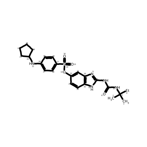 CCC(C)(C)NC(=O)Nc1nc2cc(OS(=O)(=O)c3ccc(NC4CCCC4)cc3)ccc2[nH]1